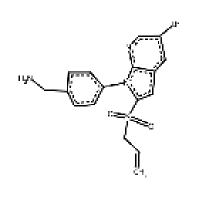 C=CCS(=O)(=O)c1cc2cc(Br)cnc2n1-c1ccc(CN)cc1